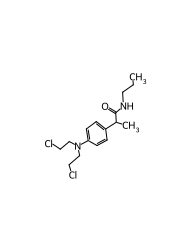 CCCNC(=O)C(C)c1ccc(N(CCCl)CCCl)cc1